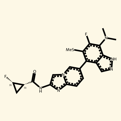 CSc1c(F)c(N(C)C)c2[nH]ncc2c1-c1ccc2nc(NC(=O)[C@@H]3C[C@@H]3F)cn2c1